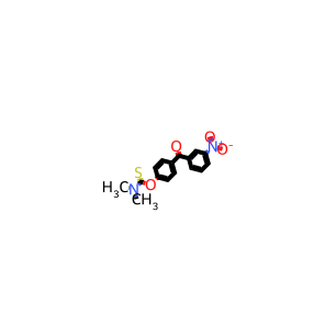 CN(C)C(=S)Oc1ccc(C(=O)c2cccc([N+](=O)[O-])c2)cc1